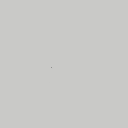 O=C1c2ccc(B(O)O)cc2C(=O)N1Cc1ccccc1